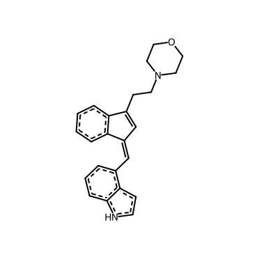 C1=C(CCN2CCOCC2)c2ccccc2/C1=C\c1cccc2[nH]ccc12